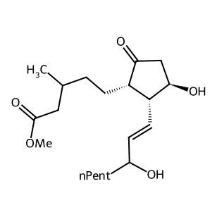 CCCCCC(O)C=C[C@H]1[C@H](O)CC(=O)[C@H]1CCC(C)CC(=O)OC